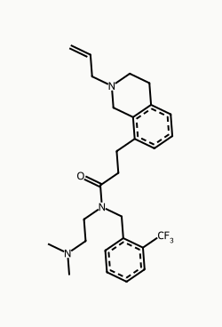 C=CCN1CCc2cccc(CCC(=O)N(CCN(C)C)Cc3ccccc3C(F)(F)F)c2C1